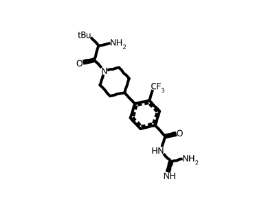 CC(C)(C)C(N)C(=O)N1CCC(c2ccc(C(=O)NC(=N)N)cc2C(F)(F)F)CC1